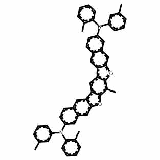 Cc1cccc(N(c2ccc3cc4c(cc3c2)oc2c(C)c3oc5cc6cc(N(c7cccc(C)c7)c7ccccc7C)ccc6cc5c3cc24)c2ccccc2C)c1